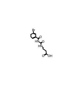 O=C(O)CCCNC(=O)NC(=O)C1=CCCC(Br)=C1